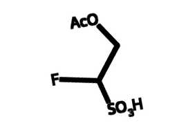 CC(=O)OCC(F)S(=O)(=O)O